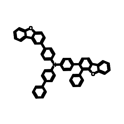 c1ccc(-c2ccc(N(c3ccc(-c4ccc5oc6ccccc6c5c4)cc3)c3ccc(-c4ccc5c(oc6ccccc65)c4-c4ccccc4)cc3)cc2)cc1